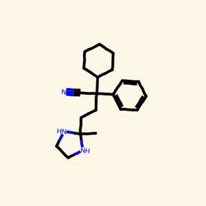 CC1(CCC(C#N)(c2ccccc2)C2CCCCC2)NCCN1